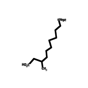 CCCCCCCCCCCCCCC(C)CC(=O)O